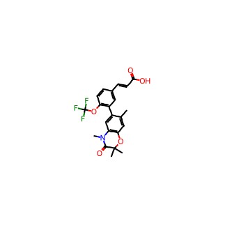 Cc1cc2c(cc1-c1cc(C=CC(=O)O)ccc1OC(F)(F)F)N(C)C(=O)C(C)(C)O2